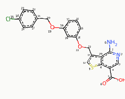 Nc1ncc(C(=O)O)c2scc(COc3cccc(OCc4ccc(Cl)cc4)c3)c12